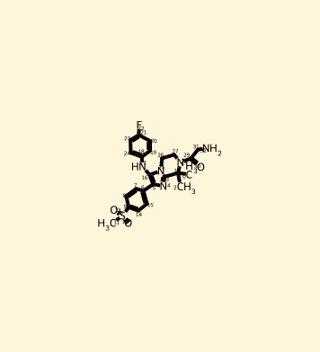 CC1(C)c2nc(-c3ccc(S(C)(=O)=O)cc3)c(Nc3ccc(F)cc3)n2CCN1C(=O)CN